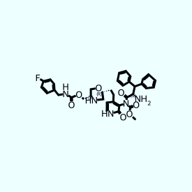 COC(=O)N(C(=O)[C@@H](N)C(c1ccccc1)c1ccccc1)c1c(CC[C@@H]2CN[C@H](COC(=O)NCc3ccc(F)cc3)CO2)cc[nH]c1=O